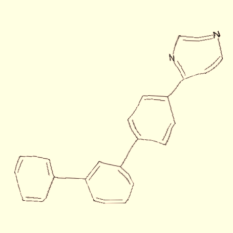 c1ccc(-c2cccc(-c3ccc(-c4ccncn4)cc3)c2)cc1